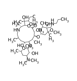 CCCNC[C@]1(O)C(C)O[C@@H](O[C@H]2[C@H](C)[C@@H](O[C@@H]3OC(C)C[C@H](N(C)C)[C@H]3O)[C@@](C)(O)C[C@@H](C)CN[C@H](C)C([C@](C)(O)C(O)CC)OC(=O)[C@@H]2C)C[C@@]1(C)OC